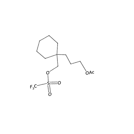 CC(=O)OCCCC1(COS(=O)(=O)C(F)(F)F)CCCCC1